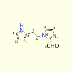 O=Cc1nccn1CCc1ccc[nH]1